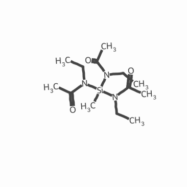 CCN(C(C)=O)[Si](C)(N(CC)C(C)=O)N(CC)C(C)=O